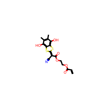 C=CC(=O)OCCOC(=O)C(C#N)=C1Sc2c(O)c(C)c(C)c(O)c2S1